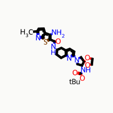 Cc1ccc2c(N)c(C(=O)N[C@H]3CCc4nc(N5C[C@H](NC(=O)OC(C)(C)C)C6(C5)OCCO6)ccc4C3)sc2n1